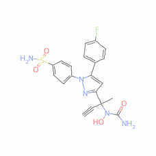 C#CC(C)(c1cc(-c2ccc(F)cc2)n(-c2ccc(S(N)(=O)=O)cc2)n1)N(O)C(N)=O